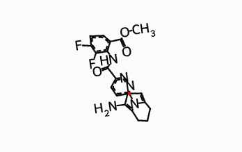 COC(=O)c1ccc(F)c(F)c1NC(=O)c1ccc(N2C3=CCC(N)=C2CCC3)nn1